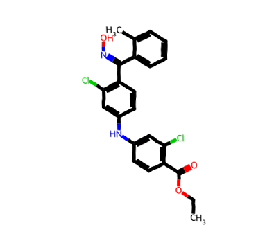 CCOC(=O)c1ccc(Nc2ccc(C(=NO)c3ccccc3C)c(Cl)c2)cc1Cl